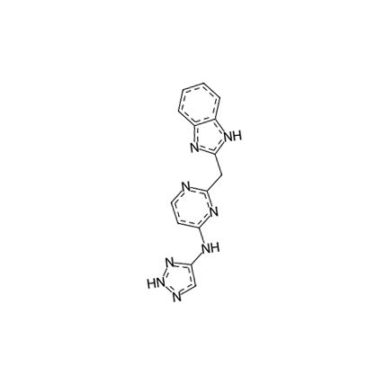 c1ccc2[nH]c(Cc3nccc(Nc4cn[nH]n4)n3)nc2c1